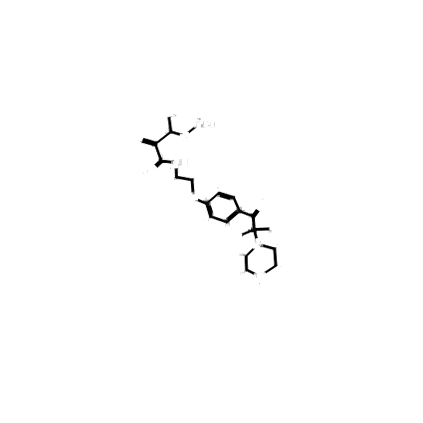 C=C(C(=O)NCCSc1ccc(C(=O)C(C)(C)N2CCOCC2)cc1)C(C)SCCCC